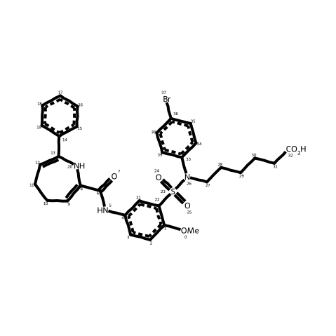 COc1ccc(NC(=O)C2=CCCC=C(c3ccccc3)N2)cc1S(=O)(=O)N(CCCCCC(=O)O)c1ccc(Br)cc1